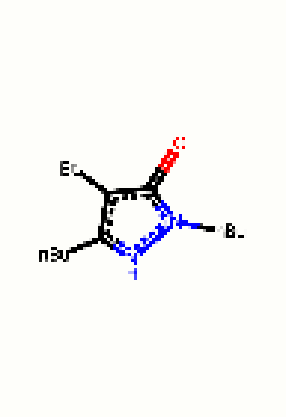 CCCCc1[nH]n(CCCC)c(=O)c1CC